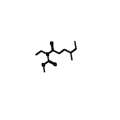 CCC(C)CCC(=O)N(CC)C(=O)OC